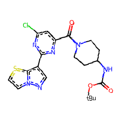 CC(C)(C)OC(=O)NC1CCN(C(=O)c2cc(Cl)nc(-c3cnn4ccsc34)n2)CC1